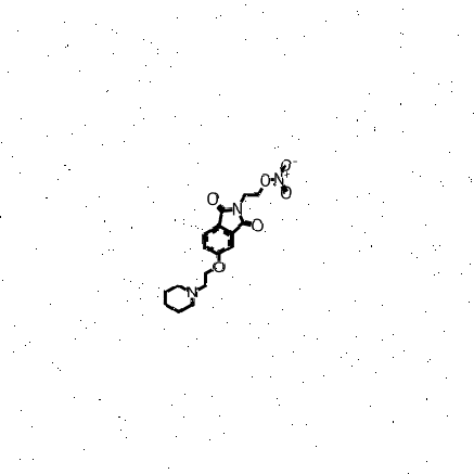 O=C1c2ccc(OCCN3CCCCC3)cc2C(=O)N1CCO[N+](=O)[O-]